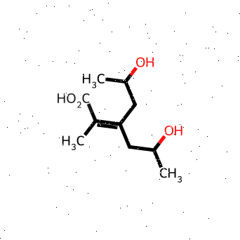 CC(C(=O)O)=C(CC(C)O)CC(C)O